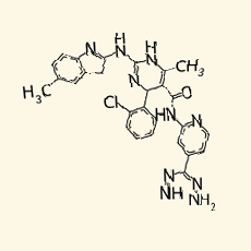 CC1=C(C(=O)Nc2cc(/C(N=N)=N/N)ccn2)C(c2ccccc2Cl)N=C(NC2=Nc3ccc(C)cc3C2)N1